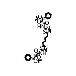 CC1(C)O[C@@H](C(=O)Nc2nnc(CCCCc3nnc(NC(=O)[C@@]4(C)OC(C)(C)O[C@H]4c4ccccc4)s3)s2)[C@H](c2ccccc2)O1